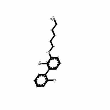 CCc1ccccc1-c1cccc(OCCCCCN)c1CC